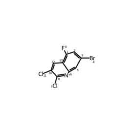 Fc1cc(Br)cc2nc(Cl)c(Cl)cc12